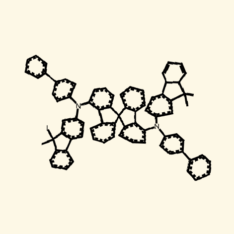 CC1(I)c2ccccc2-c2ccc(N(c3ccc(-c4ccccc4)cc3)c3cccc4c3-c3ccccc3C43c4ccccc4-c4c(N(c5ccc(-c6ccccc6)cc5)c5ccc6c(c5)C(C)(C)C5C=CC=CC65)cccc43)cc21